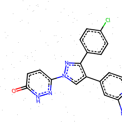 Nc1cc(-c2cn(-c3ccc(=O)[nH]n3)nc2-c2ccc(Cl)cc2)ccn1